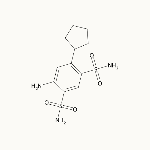 Nc1cc(C2CCCC2)c(S(N)(=O)=O)cc1S(N)(=O)=O